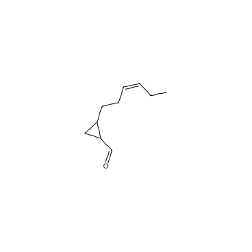 CC/C=C\CCC1CC1C=O